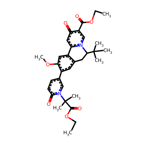 CCOC(=O)c1cn2c(cc1=O)-c1cc(OC)c(-c3ccc(=O)n(C(C)(C)C(=O)OCC)c3)cc1CC2C(C)(C)C